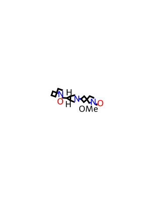 COC(=O)N1CCC2(CC(N3C[C@@H]4C(C(=O)N5CCC56CCC6)[C@@H]4C3)C2)C1